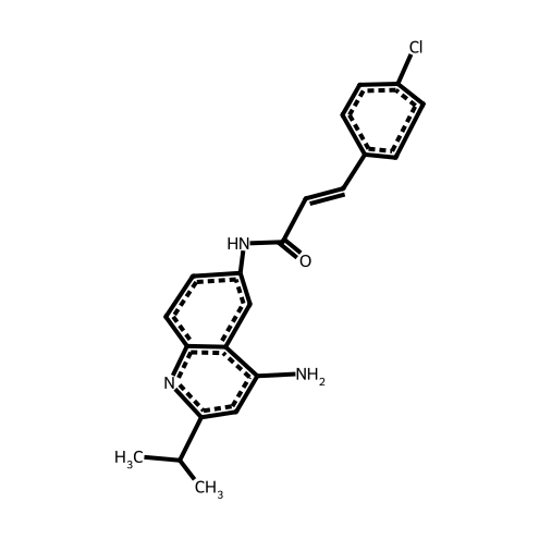 CC(C)c1cc(N)c2cc(NC(=O)/C=C/c3ccc(Cl)cc3)ccc2n1